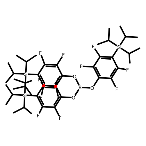 CC(C)[Si](c1c(F)c(F)c(OB(Oc2c(F)c(F)c([Si](C(C)C)(C(C)C)C(C)C)c(F)c2F)Oc2c(F)c(F)c([Si](C(C)C)(C(C)C)C(C)C)c(F)c2F)c(F)c1F)(C(C)C)C(C)C